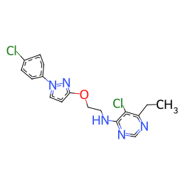 CCc1ncnc(NCCOc2ccn(-c3ccc(Cl)cc3)n2)c1Cl